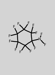 FN(F)C1(F)C(F)(F)C(F)(F)C(F)(F)C(F)(F)C1(F)F